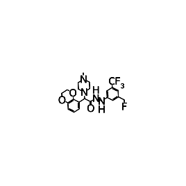 CN1CCN(C(C(=O)NNc2cc(CF)cc(C(F)(F)F)c2)c2cccc3c2OCCO3)CC1